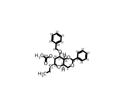 CCS[C@@H]1O[C@@H]2COC(c3ccccc3)O[C@H]2[C@H](OCc2ccccc2)[C@H]1OC(C)=O